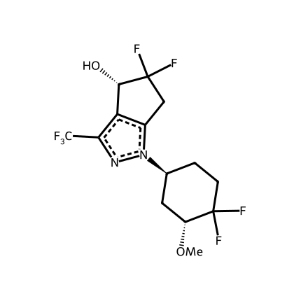 CO[C@@H]1C[C@@H](n2nc(C(F)(F)F)c3c2CC(F)(F)[C@H]3O)CCC1(F)F